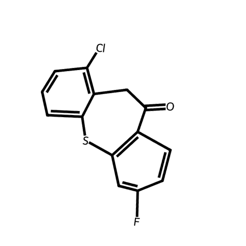 O=C1Cc2c(Cl)cccc2Sc2cc(F)ccc21